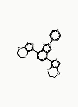 c1cc(-n2nc3c(-c4scc5c4OCCO5)ccc(-c4scc5c4OCCO5)c3n2)ccn1